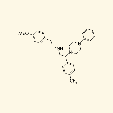 COc1ccc(CCNCC(c2ccc(C(F)(F)F)cc2)N2CCN(c3ccccc3)CC2)cc1